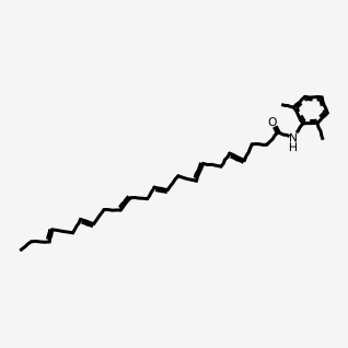 CCC=CCC=CCC=CCC=CCC=CCC=CCCC(=O)Nc1c(C)cccc1C